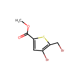 COC(=O)c1cc(Br)c(CBr)s1